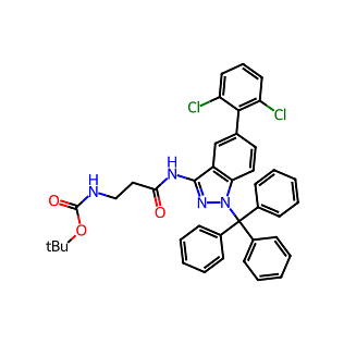 CC(C)(C)OC(=O)NCCC(=O)Nc1nn(C(c2ccccc2)(c2ccccc2)c2ccccc2)c2ccc(-c3c(Cl)cccc3Cl)cc12